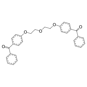 O=C(c1ccccc1)c1ccc(OCCOCCOc2ccc(C(=O)c3ccccc3)cc2)cc1